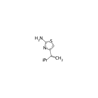 C=C(c1csc(N)n1)C(C)C